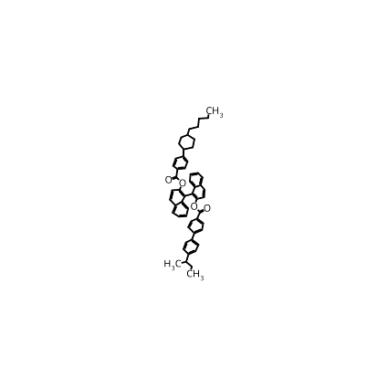 CCCCCC1CCC(c2ccc(C(=O)Oc3ccc4ccccc4c3-c3c(OC(=O)c4ccc(-c5ccc(C(C)CC)cc5)cc4)ccc4ccccc34)cc2)CC1